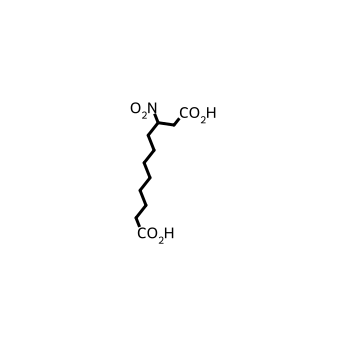 O=C(O)CCCCCCCC(CC(=O)O)[N+](=O)[O-]